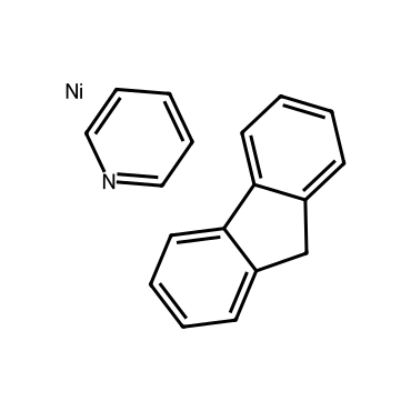 [Ni].c1ccc2c(c1)Cc1ccccc1-2.c1ccncc1